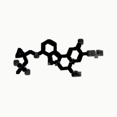 CCOC(=O)c1cn2c(cc1=O)-c1c3cccc(OCC4(CS(C)(=O)=O)CC4)c3nn1CC2C(C)(C)C